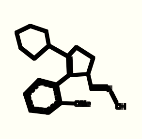 COc1ccccc1C1=C(C2CCCCC2)CCC1C=NO